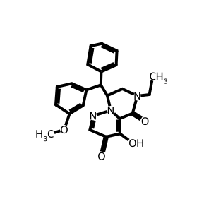 CCN1CC(C(c2ccccc2)c2cccc(OC)c2)n2ncc(=O)c(O)c2C1=O